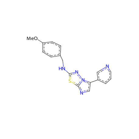 COc1ccc(CNc2nn3c(-c4cccnc4)cnc3s2)cc1